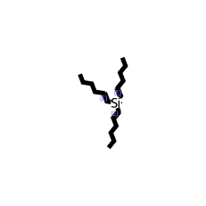 CCCC/C=C/[Si](/C=C/CCCC)/C=C/CCCC